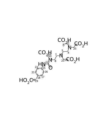 CC(C(=O)O)N(CCN(CCN(CC(=O)O)C(=O)Nc1ccc(CC(=O)O)cc1)CC(=O)O)CC(=O)O